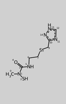 CN(S)C(=O)NCCSCc1nc[nH]n1